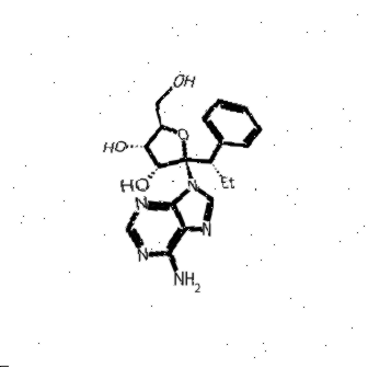 CC[C@@H](c1ccccc1)[C@@]1(n2cnc3c(N)ncnc32)O[C@H](CO)[C@@H](O)[C@H]1O